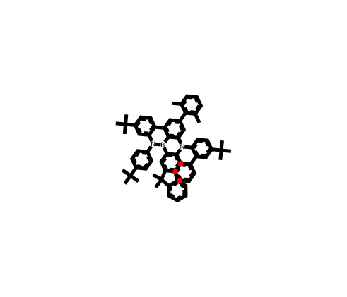 Cc1cccc(C)c1-c1cc2c3c(c1)N(c1ccc(C(C)(C)C)cc1-c1ccccc1)c1cc4c(cc1B3N(c1ccc(C(C)(C)C)cc1)c1cc(C(C)(C)C)ccc1-2)C(C)(C)c1ccccc1-4